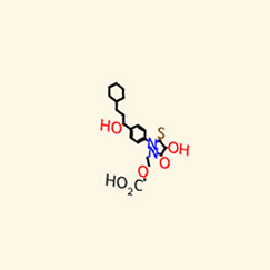 O=C(O)COCCN1C(=O)C(O)C(=S)N1c1ccc(C(O)CCC2CCCCC2)cc1